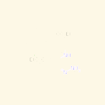 CCOC(=O)C1=C(C)NC(/C=N\N)=C(C(=O)OCC)C1c1ccccc1Cl